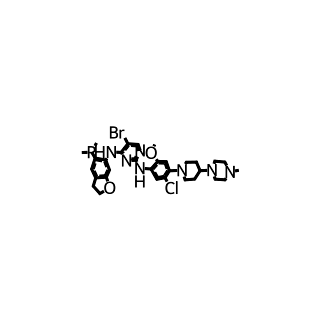 COc1cc(N2CCC(N3CCN(C)CC3)CC2)c(Cl)cc1Nc1ncc(Br)c(Nc2cc3c(cc2P(C)C)CCO3)n1